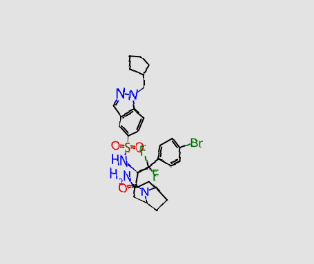 NC1CC2CCC(C1)N2C(=O)[C@@H](NS(=O)(=O)c1ccc2c(cnn2CC2CCCC2)c1)C(F)(F)c1ccc(Br)cc1